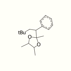 CC1OC(C)(C(CC(C)(C)C)c2ccccc2)OC1C